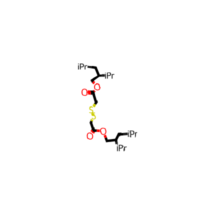 CC(C)CC(COC(=O)CSSCC(=O)OCC(CC(C)C)C(C)C)C(C)C